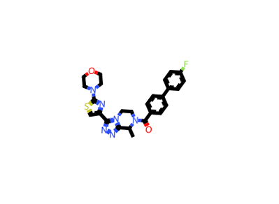 CC1c2nnc(-c3csc(N4CCOCC4)n3)n2CCN1C(=O)c1ccc(-c2ccc(F)cc2)cc1